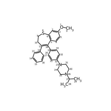 COc1ccc2c(c1)SCCC(c1ccccc1)=C2c1ccc(N2CCN(C(C)C)CC2)cc1